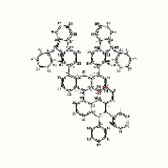 c1ccc(Cc2ccccc2-c2c(Cc3ccccc3)cccc2-c2c3cccc(-c4ccc5c6ccccc6n6c7ccccc7c4c56)c3cc3c(-c4ccc5c6ccccc6n6c7ccccc7c4c56)cccc23)cc1